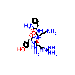 N=C(N)NCCC[C@@H](N)C(=O)N[C@@H](Cc1ccc(O)cc1)C(=O)N[C@@H](CCCCN)C(=O)N[C@H](Cc1ccccc1)C(N)=O